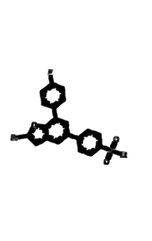 CCc1cc2cc(-c3ccc(S(=O)(=O)CC)cc3)cc(-c3ccc(F)cc3)c2o1